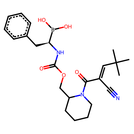 CC(C)(C)/C=C(\C#N)C(=O)N1CCCCC1COC(=O)N[C@@H](Cc1ccccc1)B(O)O